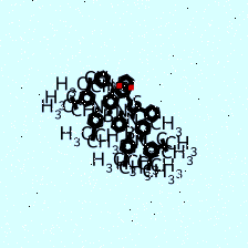 Cc1cc2c3c(c1)N1c4c(ccc5c4N(c4cc(N(c6ccccc6)c6ccccc6)cc6c4B5c4cc(C(C)(C)C)ccc4N6c4cc(C(C)(C)C)cc(C(C)(C)C)c4)c4c(-c5ccccc5)sc(-c5ccccc5)c41)B3c1ccc(C(C)(C)C)cc1N2c1cc(C(C)(C)C)cc(C(C)(C)C)c1